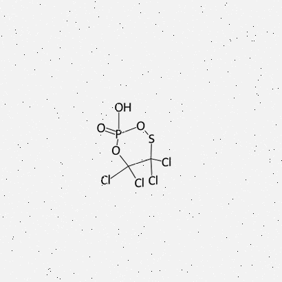 O=P1(O)OSC(Cl)(Cl)C(Cl)(Cl)O1